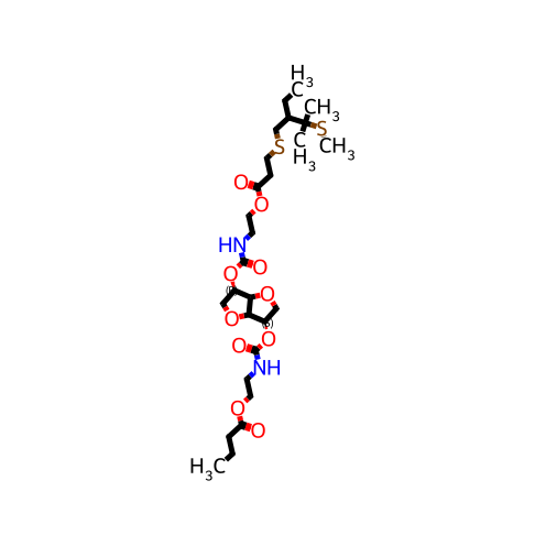 CCCC(=O)OCCNC(=O)O[C@H]1COC2C1OC[C@H]2OC(=O)NCCOC(=O)CCSCC(CC)C(C)(C)SC